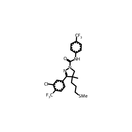 CSCCCC1(C)CN(C(=O)Nc2ccc(C(F)(F)F)cc2)N=C1c1ccc(C(F)(F)F)c(Cl)c1